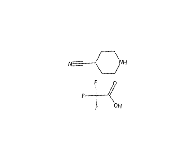 N#CC1CCNCC1.O=C(O)C(F)(F)F